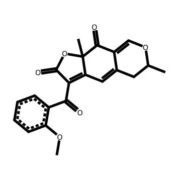 COc1ccccc1C(=O)C1=C2C=C3CC(C)OC=C3C(=O)C2(C)OC1=O